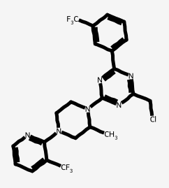 CC1CN(c2ncccc2C(F)(F)F)CCN1c1nc(CCl)nc(-c2cccc(C(F)(F)F)c2)n1